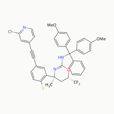 COc1ccc(C(NC2=N[C@](C)(c3cc(C#Cc4ccnc(Cl)c4)ccc3F)C[C@@H](C(F)(F)F)O2)(c2ccccc2)c2ccc(OC)cc2)cc1